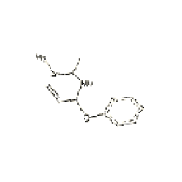 C=CC(NC(C)SS)Oc1ccccc1